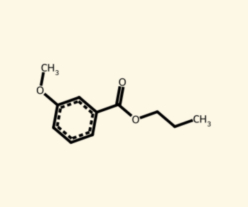 CCCOC(=O)c1cccc(OC)c1